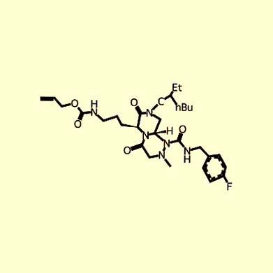 C=CCOC(=O)NCCC[C@H]1C(=O)N(CC(CC)CCCC)C[C@H]2N1C(=O)CN(C)N2C(=O)NCc1ccc(F)cc1